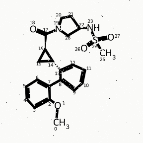 COc1ccccc1-c1ccccc1[C@@H]1C[C@H]1C(=O)N1CC[C@@H](NS(C)(=O)=O)C1